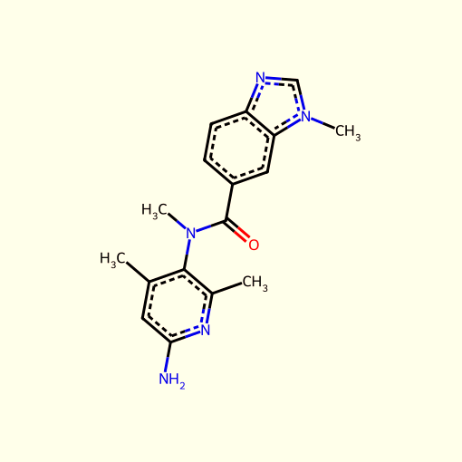 Cc1cc(N)nc(C)c1N(C)C(=O)c1ccc2ncn(C)c2c1